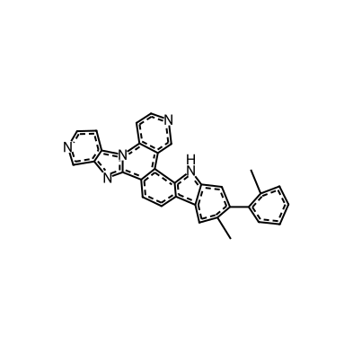 Cc1ccccc1-c1cc2[nH]c3c(ccc4c3c3cnccc3n3c5ccncc5nc43)c2cc1C